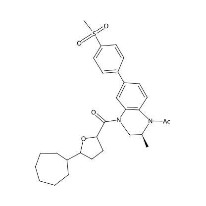 CC(=O)N1c2ccc(-c3ccc(S(C)(=O)=O)cc3)cc2N(C(=O)C2CCC(C3CCCCCC3)O2)C[C@@H]1C